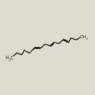 CCC/C=C/C/C=C/C/C=C/CCCCC